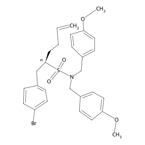 C=CCC[C@H](Cc1ccc(Br)cc1)S(=O)(=O)N(Cc1ccc(OC)cc1)Cc1ccc(OC)cc1